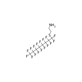 NCCSC(F)(F)C(F)(F)C(F)(F)C(F)(F)C(F)(F)C(F)(F)C(F)(F)C(F)(F)F